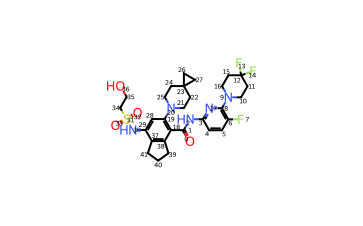 O=C(Nc1ccc(F)c(N2CCC(F)(F)CC2)n1)c1c(N2CCC3(CC2)CC3)cc(NS(=O)(=O)CCO)c2c1CCC2